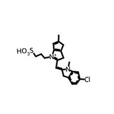 CC1=CC2=C(C1)CC(C=C1Cc3ccc(Cl)cc3N1C)=[N+]2CCCS(=O)(=O)O